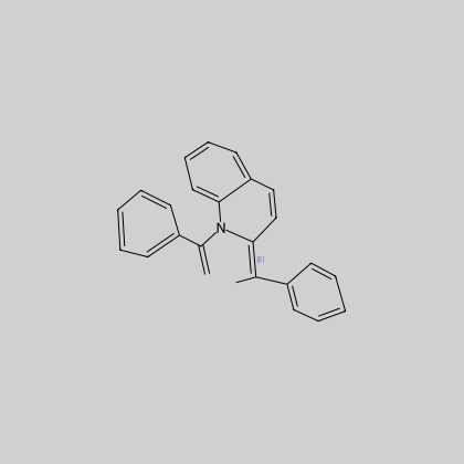 C=C(c1ccccc1)N1/C(=C(\C)c2ccccc2)C=Cc2ccccc21